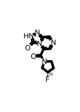 O=C(c1cncc2n[nH]c(=O)n12)N1CC[C@H](F)C1